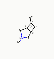 C[C@H]1CC2CN(C)CC21